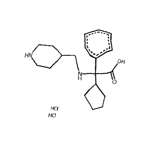 Cl.Cl.O=C(O)C(NCC1CCNCC1)(c1ccccc1)C1CCCC1